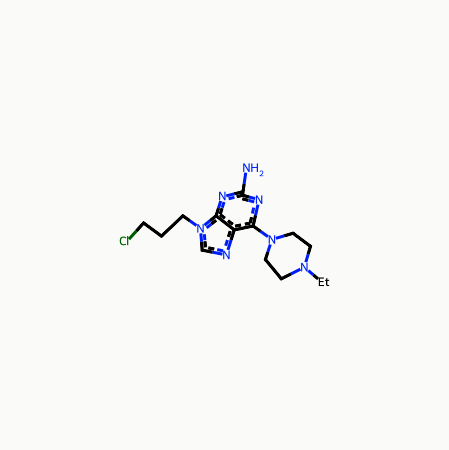 CCN1CCN(c2nc(N)nc3c2ncn3CCCCl)CC1